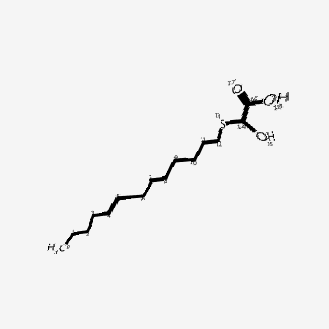 CCCCCCCCCCCCCSC(O)C(=O)O